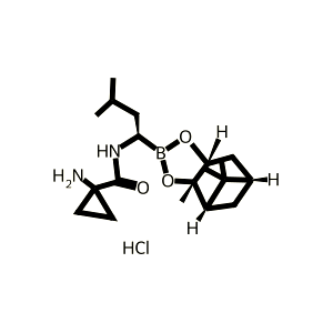 CC(C)C[C@H](NC(=O)C1(N)CC1)B1O[C@@H]2C[C@@H]3C[C@@H](C3(C)C)[C@]2(C)O1.Cl